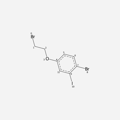 BrCCOc1ccc(Br)c(I)c1